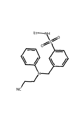 CCNS(=O)(=O)c1cccc(CN(CCC#N)c2ccccc2)c1